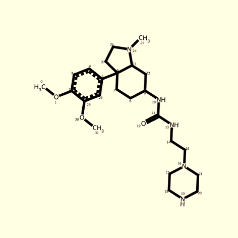 COc1ccc(C23CCC(NC(=O)NCCN4CCNCC4)CC2N(C)CC3)cc1OC